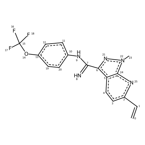 C=Cc1ccc2c(C(=N)Nc3ccc(OC(F)(F)F)cc3)nn(C)c2n1